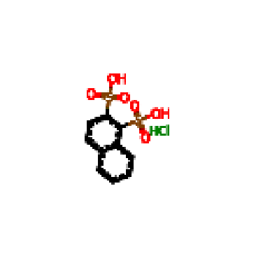 Cl.O=S(=O)(O)c1ccc2ccccc2c1S(=O)(=O)O